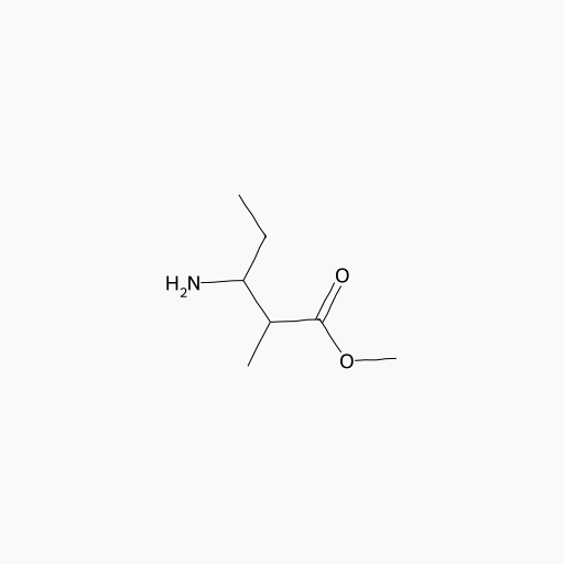 CCC(N)C(C)C(=O)OC